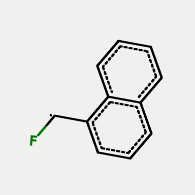 F[CH]c1cccc2ccccc12